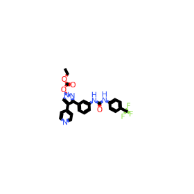 CCOC(=O)On1cc(-c2ccncc2)c(-c2cccc(NC(=O)Nc3ccc(C(F)(F)F)cc3)c2)n1